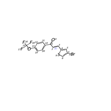 O=C(/C=C/c1cc(Br)cs1)c1ccc(OC(F)(F)F)cc1